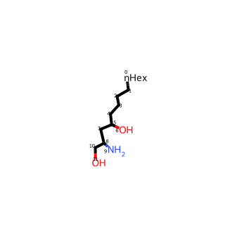 CCCCCCCCCCC(O)CC(N)CO